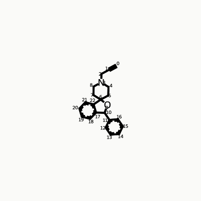 C#CCN1CCC2(CC1)OC(c1ccccc1)c1ccccc12